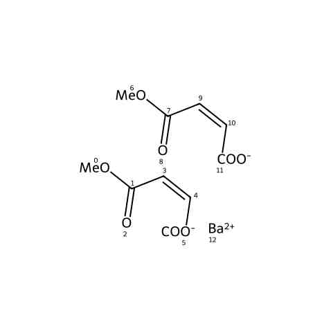 COC(=O)/C=C\C(=O)[O-].COC(=O)/C=C\C(=O)[O-].[Ba+2]